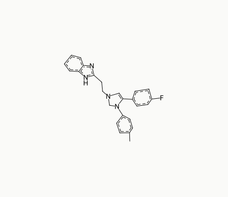 Cc1ccc(N2CN(CCc3nc4ccccc4[nH]3)C=C2c2ccc(F)cc2)cc1